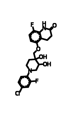 O=C1CCc2c(OCC3(O)CCN(c4ccc(Cl)cc4F)CC3O)ccc(F)c2N1